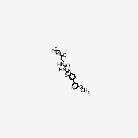 COc1cncc(-c2ccc3nc(NC(=O)NCCC(=O)N4CC(F)(F)C4)sc3c2)c1